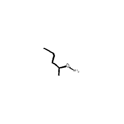 CCCC(C)ON